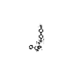 CCC(CC)(NC(=O)c1cnn2c1NC(c1ccccc1)CC2(C)C)c1ccc(-c2ccc(C(F)(F)F)cc2)cc1